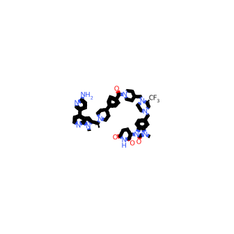 C[C@@H](c1cc2c(-c3ccc(N)nc3)ccnc2n1C)N1CCC(c2ccc(C(=O)N3CCC(CN4CCN(Cc5ccc6c(c5)n(C)c(=O)n6C5CCC(=O)NC5=O)C[C@@H]4C(F)(F)F)CC3)cc2)CC1